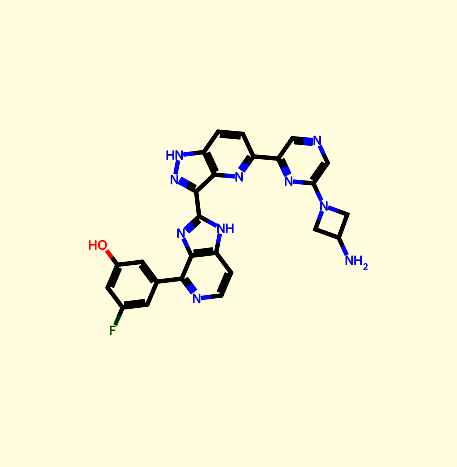 NC1CN(c2cncc(-c3ccc4[nH]nc(-c5nc6c(-c7cc(O)cc(F)c7)nccc6[nH]5)c4n3)n2)C1